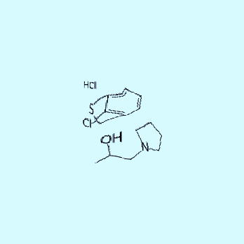 CC(O)CN1CCCC1.Cl.Clc1c2cccc1SC2